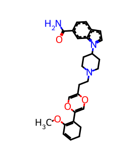 COC1=C(C2=COC(CCN3CCC(n4ccc5ccc(C(N)=O)cc54)CC3)=CO2)CCC=C1